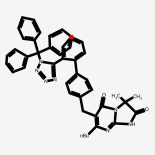 CCCCc1nc2n(c(=O)c1Cc1ccc(-c3ccccc3-c3nnnn3C(c3ccccc3)(c3ccccc3)c3ccccc3)cc1)C(C)(C)C(=O)N2